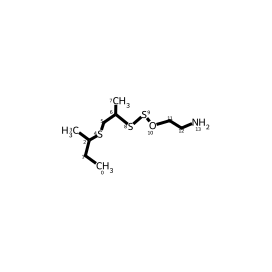 CCC(C)SCC(C)SSOCCN